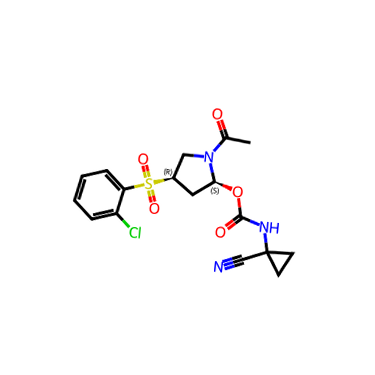 CC(=O)N1C[C@H](S(=O)(=O)c2ccccc2Cl)C[C@@H]1OC(=O)NC1(C#N)CC1